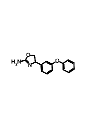 NC1=NC(c2cccc(Oc3ccccc3)c2)CO1